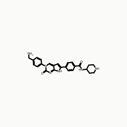 NCc1ccc(-n2cc3cc(-c4ccc(C(=O)NC5CCNCC5)cc4)[nH]c3nc2=O)cc1